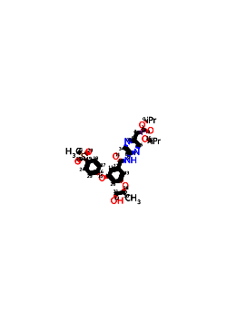 CC(C)OP(=O)(Cc1cnc(NC(=O)c2cc(Oc3ccc(S(C)(=O)=O)cc3)cc(O[C@@H](C)CO)c2)cn1)OC(C)C